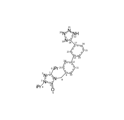 CC(C)c1nn(C(C)C)c(=O)n1Cc1ccc(-c2cccc(-c3nnn[nH]3)c2)cc1